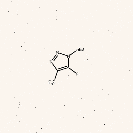 CCCCn1nnc(C(F)(F)F)c1F